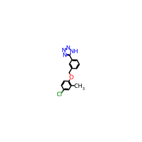 Cc1cc(Cl)ccc1OCc1cccc(-c2nnn[nH]2)c1